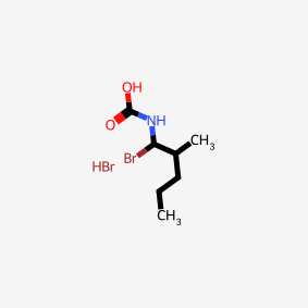 Br.CCCC(C)C(Br)NC(=O)O